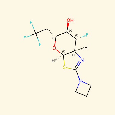 O[C@H]1[C@H](F)[C@H]2N=C(N3CCC3)S[C@H]2O[C@@H]1CC(F)(F)F